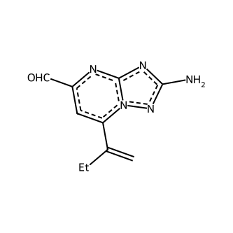 C=C(CC)c1cc(C=O)nc2nc(N)nn12